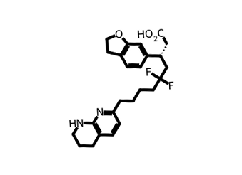 O=C(O)C[C@H](CC(F)(F)CCCCc1ccc2c(n1)NCCC2)c1ccc2c(c1)OCC2